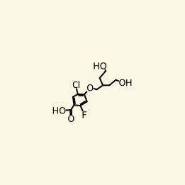 O=C(O)c1cc(Cl)c(OCC(CCO)CCO)cc1F